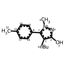 CCCCc1c(O)nn(C)c1-c1ccc(C)cc1